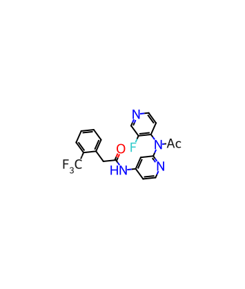 CC(=O)N(c1cc(NC(=O)Cc2ccccc2C(F)(F)F)ccn1)c1ccncc1F